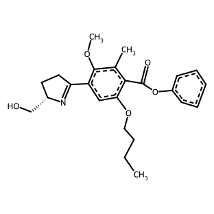 CCCCOc1cc(C2=N[C@H](CO)CC2)c(OC)c(C)c1C(=O)Oc1ccccc1